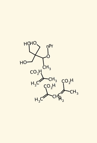 C=C(C)C(=O)O.C=C(C)C(=O)O.C=C(C)C(=O)O.CCCOC(C)C(CO)(CO)CO